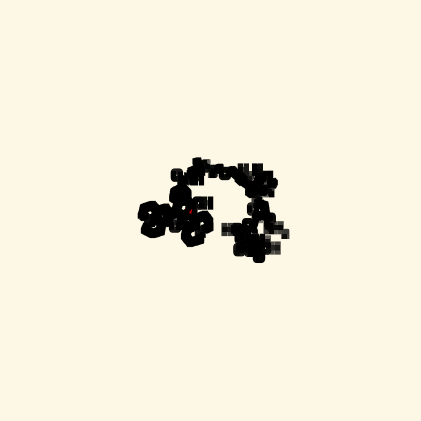 CC(C)(CNC(=O)c1ccc(C2=c3cc4c5c(c3Oc3c2cc2c6c3CCCN6CCC2)CCC[N+]=5CCC4)c(C(=O)O)c1)SSCOCC#Cc1cn([C@H]2CC(ON)[C@@H](COP(=O)(O)OP(=O)(O)OP(=O)(O)O)O2)c2ncnc(N)c12